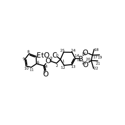 CCOC(=O)C1(COC(=O)C2C=CC=CC2)CC=C(B2OC(C)(C)C(C)(C)O2)CC1